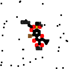 COCCOc1c(S(C)(=O)=O)ccc(C(=O)C(C(=O)OC(C)(C)C)C(=O)C2CC2)c1Br